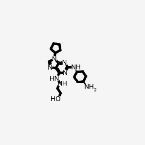 N[C@H]1CC[C@H](Nc2nc(NNCCO)c3ncn(C4CCCC4)c3n2)CC1